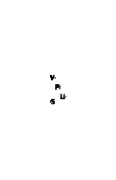 [Li].[P].[S].[V]